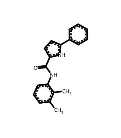 Cc1cccc(NC(=O)c2ccc(-c3ccccc3)[nH]2)c1C